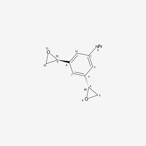 CCCc1cc([C@@H]2CO2)cc([C@H]2CO2)c1